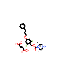 C[C@@H]1CNC[C@H](C)N1C(=O)OCc1c(F)cc(OCCCc2ccccc2)cc1F.O=C(O)C=CC(=O)O